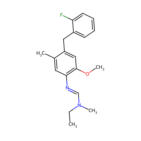 CCN(C)/C=N/c1cc(C)c(Cc2ccccc2F)cc1OC